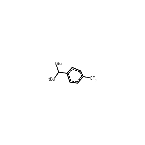 CC(C)(C)C(c1ccc(C(F)(F)F)cc1)C(C)(C)C